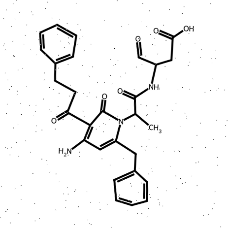 CC(C(=O)NC(C=O)CC(=O)O)n1c(Cc2ccccc2)cc(N)c(C(=O)CCc2ccccc2)c1=O